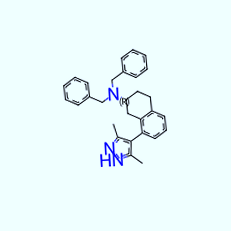 Cc1n[nH]c(C)c1-c1cccc2c1C[C@H](N(Cc1ccccc1)Cc1ccccc1)CC2